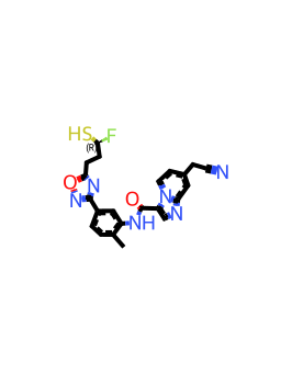 Cc1ccc(-c2noc(CC[C@H](F)S)n2)cc1NC(=O)c1cnc2cc(CC#N)ccn12